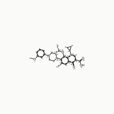 COc1cccc(N2CCN(c3c(F)cc4c(=O)c(C(=O)O)cn(C5CC5)c4c3OC(F)F)CC2)c1